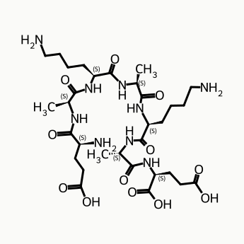 C[C@H](NC(=O)[C@H](CCCCN)NC(=O)[C@H](C)NC(=O)[C@H](CCCCN)NC(=O)[C@H](C)NC(=O)[C@@H](N)CCC(=O)O)C(=O)N[C@@H](CCC(=O)O)C(=O)O